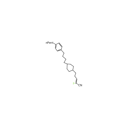 CCCCCc1ccc(CCCCC2CCC(CCC=C(F)C#N)CC2)cc1